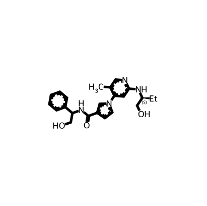 CC[C@@H](CO)Nc1cc(-n2ccc(C(=O)NC(CO)c3ccccc3)c2)c(C)cn1